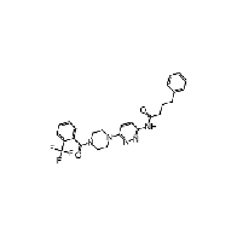 O=C(CCCc1ccccc1)Nc1ccc(N2CCN(C(=O)c3ccccc3C(F)(F)F)CC2)nn1